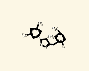 Cc1ccc(Cl)c(CC2=NO[C@H](c3cc(C(F)(F)F)cc(C(F)(F)F)c3)[C@@H]2C)c1